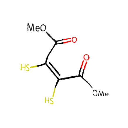 COC(=O)/C(S)=C(/S)C(=O)OC